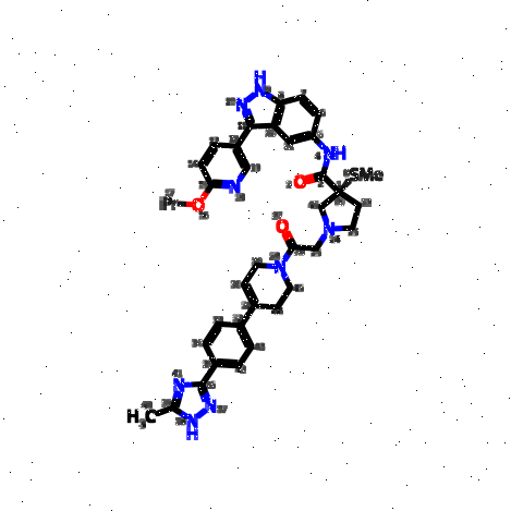 CS[C@@]1(C(=O)Nc2ccc3[nH]nc(-c4ccc(OC(C)C)nc4)c3c2)CCN(CC(=O)N2CC=C(c3ccc(-c4n[nH]c(C)n4)cc3)CC2)C1